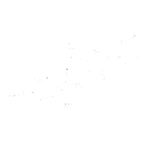 COc1cc(C=O)cc2cc(C(=O)c3nc(-c4ccccc4)oc3C)oc12